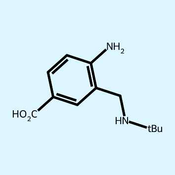 CC(C)(C)NCc1cc(C(=O)O)ccc1N